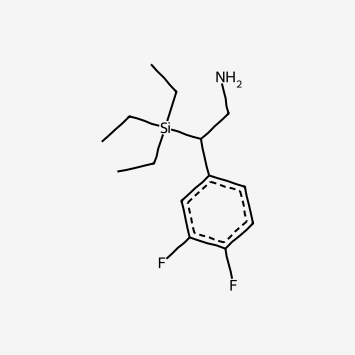 CC[Si](CC)(CC)C(CN)c1ccc(F)c(F)c1